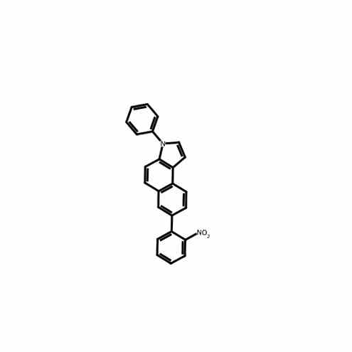 O=[N+]([O-])c1ccccc1-c1ccc2c(ccc3c2ccn3-c2ccccc2)c1